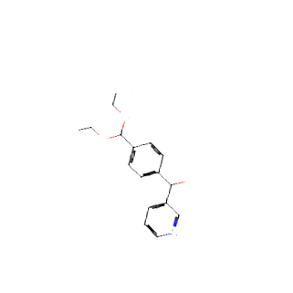 CCOC(OCC)c1ccc(C(O)c2cccnc2)cc1